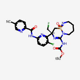 CC(C)(C)OC(=O)NC1=N[C@](CF)(c2nc(NC(=O)c3ccc(C#N)cn3)ccc2F)CS2(=O)=NCCCCN12